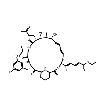 CCOC(=O)/C=C/C=C(\C)[C@@H]1C/C=C/C=C/[C@H](O)[C@H](C)[C@@H](O)[C@@H](CCC(C)=O)C(=O)N[C@@H](C(C)C)C(=O)N[C@@H](Cc2cc(O)cc(F)c2)C(=O)N2CCCC(N2)C(=O)O1